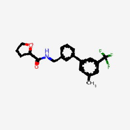 Cc1cc(-c2cccc(CNC(=O)C3CCCO3)c2)cc(C(F)(F)F)c1